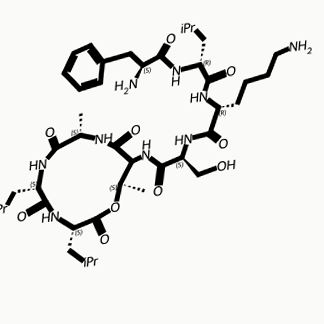 CC(C)C[C@@H]1NC(=O)[C@H](C)NC(=O)C(NC(=O)[C@H](CO)NC(=O)[C@@H](CCCCN)NC(=O)[C@@H](CC(C)C)NC(=O)[C@@H](N)Cc2ccccc2)[C@H](C)OC(=O)[C@H](CC(C)C)NC1=O